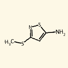 [CH2]Sc1cc(N)sn1